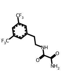 NC(=O)C(=O)NCCc1cc(C(F)(F)F)cc(C(F)(F)F)c1